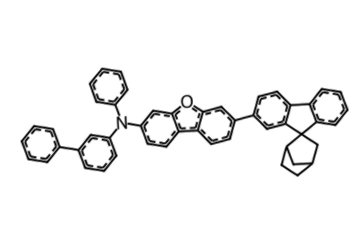 c1ccc(-c2cccc(N(c3ccccc3)c3ccc4c(c3)oc3cc(-c5ccc6c(c5)C5(CC7CCC5C7)c5ccccc5-6)ccc34)c2)cc1